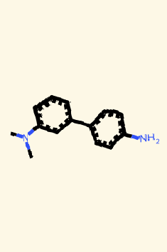 CN(C)c1cc[c]c(-c2ccc(N)cc2)c1